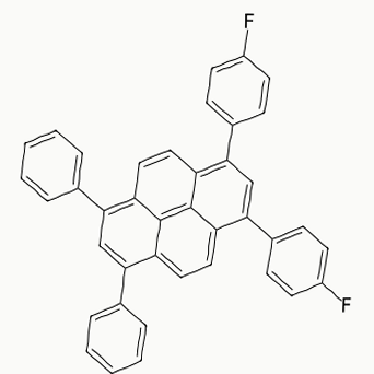 Fc1ccc(-c2cc(-c3ccc(F)cc3)c3ccc4c(-c5ccccc5)cc(-c5ccccc5)c5ccc2c3c54)cc1